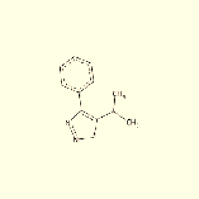 CC(C)C1=C(c2ccccc2)N=NC1